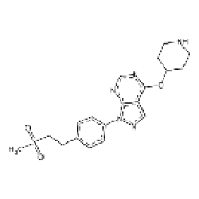 CS(=O)(=O)CCc1ccc(-n2ncc3c(OC4CCNCC4)ncnc32)cc1